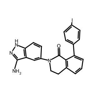 Nc1n[nH]c2ccc(N3CCc4cccc(-c5ccc(I)cc5)c4C3=O)cc12